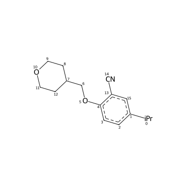 CC(C)c1ccc(OCC2CCOCC2)c(C#N)c1